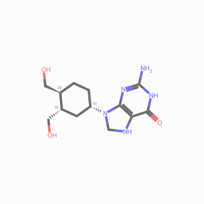 Nc1nc2c(c(=O)[nH]1)NCN2[C@H]1CC[C@H](CO)[C@@H](CO)C1